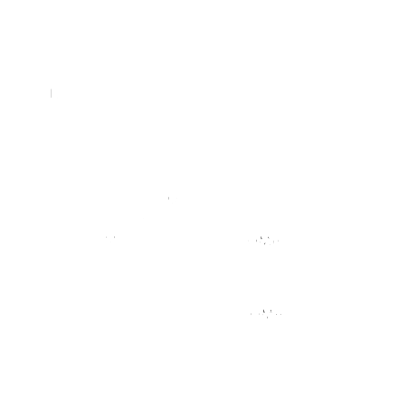 COC(CCCS(=O)(=O)c1ccc(C)cc1)(OC)c1ccccc1